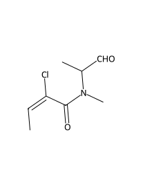 C/C=C(/Cl)C(=O)N(C)C(C)C=O